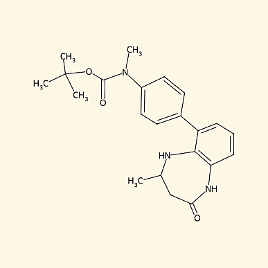 CC1CC(=O)Nc2cccc(-c3ccc(N(C)C(=O)OC(C)(C)C)cc3)c2N1